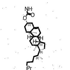 CC(C)CCC[C@@H](C)[C@H]1CC[C@H]2[C@@H]3CC=C4C[C@@H](OC([NH])=O)CC[C@]4(C)[C@H]3CC[C@]12C